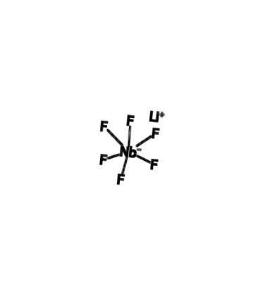 [F][Nb-]([F])([F])([F])([F])[F].[Li+]